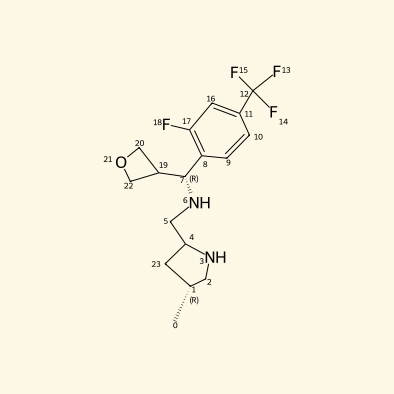 C[C@H]1CNC(CN[C@@H](c2ccc(C(F)(F)F)cc2F)C2COC2)C1